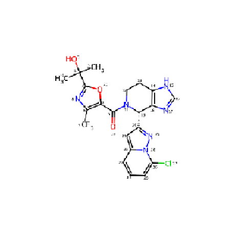 CC(C)(O)c1nc(C(F)(F)F)c(C(=O)N2CCc3[nH]cnc3[C@@H]2c2cc3cccc(Cl)n3n2)o1